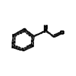 O=CPc1ccccc1